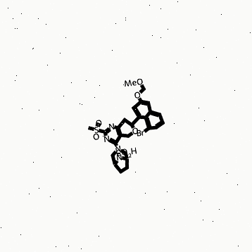 COCOc1cc(C2Cc3nc(S(C)(=O)=O)nc(N4CC5CCC(C4)N5C(=O)O)c3CO2)c2c(Br)cccc2c1